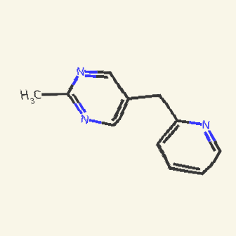 Cc1ncc(Cc2ccccn2)cn1